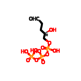 O=CCC[C@H](O)COP(=O)(O)OP(=O)(O)OP(=O)(O)O